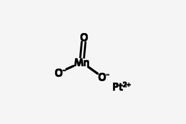 [O]=[Mn]([O-])[O-].[Pt+2]